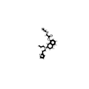 CCCN(CCc1cccs1)C1CCc2cccc(OC(=O)CN=[N+]=[N-])c2C1